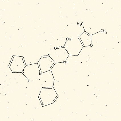 Cc1cc(CC(Nc2ncc(-c3ccccc3F)nc2Cc2ccccc2)C(=O)O)oc1C